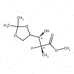 COC(=O)[C@](C)(F)[C@H](O)C1COC(C)(C)O1